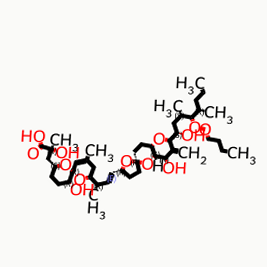 C=C1C([C@@H](O)C[C@H](C)C(OOCCCC)[C@H](C)CCC)OC2CC[C@@]3(CC[C@H](/C=C/[C@@H](C)C4CC(C)=C[C@]5(O4)O[C@H](C[C@@](C)(O)C(=O)O)CC[C@H]5O)O3)O[C@H]2[C@@H]1O